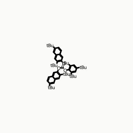 CC(C)(C)c1cc(C(C)(C)C)c(OP(Oc2cc3ccc(C(C)(C)C)cc3cc2C(C)(C)C)Oc2cc3ccc(C(C)(C)C)cc3cc2C(C)(C)C)c(C(C)(C)C)c1